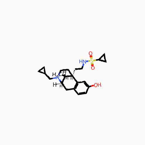 C[C@H]1[C@H]2Cc3ccc(O)cc3[C@]1(CCNS(=O)(=O)C1CC1)CCN2CC1CC1